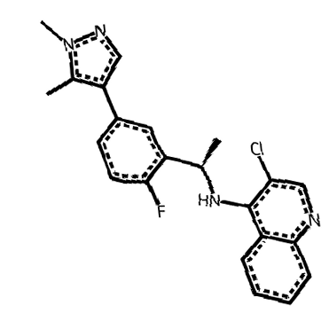 Cc1c(-c2ccc(F)c([C@@H](C)Nc3c(Cl)cnc4ccccc34)c2)cnn1C